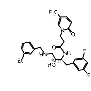 CCc1cccc(CNC[C@H](O)[C@H](Cc2cc(F)cc(F)c2)NC(=O)CCn2cc(C(F)(F)F)ccc2=O)c1